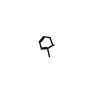 CC1=CC=CC[C]1